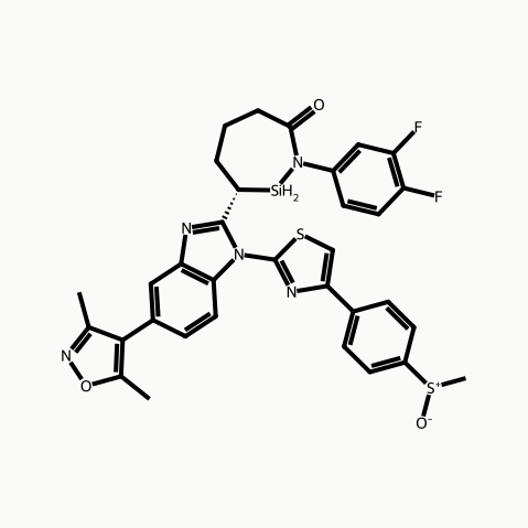 Cc1noc(C)c1-c1ccc2c(c1)nc([C@@H]1CCCC(=O)N(c3ccc(F)c(F)c3)[SiH2]1)n2-c1nc(-c2ccc([S+](C)[O-])cc2)cs1